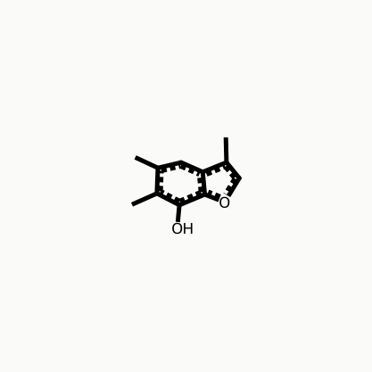 Cc1cc2c(C)coc2c(O)c1C